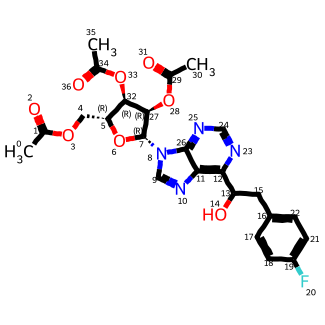 CC(=O)OC[C@H]1O[C@@H](n2cnc3c(C(O)Cc4ccc(F)cc4)ncnc32)[C@H](OC(C)=O)[C@@H]1OC(C)=O